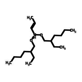 CC=C[SiH](OCC(CC)CCCC)OCC(CC)CCCC